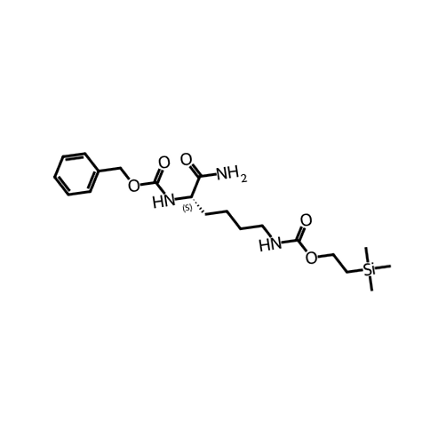 C[Si](C)(C)CCOC(=O)NCCCC[C@H](NC(=O)OCc1ccccc1)C(N)=O